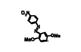 COc1[c]cc(OC)c(N=Nc2ccc([N+](=O)[O-])cc2)c1